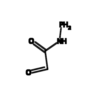 O=CC(=O)NP